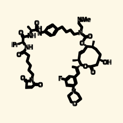 CNCCN(CCCCc1ccc(NC(=O)[C@H](C)NC(=O)[C@@H](NC(=O)CCCCCN2C(=O)C=CC2=O)C(C)C)cc1)C(=O)O[C@H]1/C=C/[C@H](C)[C@@H](/C(C)=C/c2cc(F)cc(N3CCOCC3)c2)OC(=O)C[C@H](O)CC[C@@H]1C